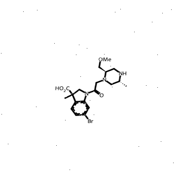 COC[C@H]1CN[C@H](C)CN1CC(=O)N1CC(C)(C(=O)O)c2ccc(Br)cc21